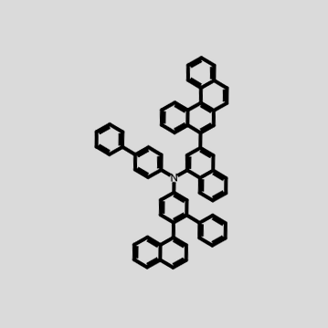 c1ccc(-c2ccc(N(c3ccc(-c4cccc5ccccc45)c(-c4ccccc4)c3)c3cc(-c4cc5ccc6ccccc6c5c5ccccc45)cc4ccccc34)cc2)cc1